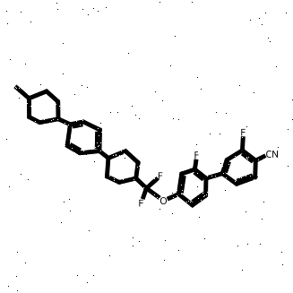 CC1CCC(c2ccc(C3CCC(C(F)(F)Oc4ccc(-c5ccc(C#N)c(F)c5)c(F)c4)CC3)cc2)CC1